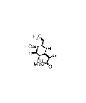 C=CCNC(=C(C(C)=O)C(=O)OC)C(C)C(=O)OC